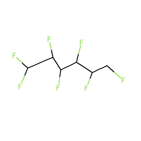 FCC(F)C(F)C(F)C(F)C(F)F